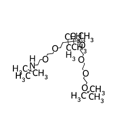 C[C@H](OCCOCCOCCOC(C)(C)C)C(C)(C)C(C)(C)CCOCCOCCNC(C)(C)C